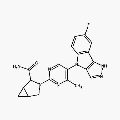 Cc1nc(N2CC3CC3C2C(N)=O)ncc1-n1c2ccc(F)cc2c2[nH]ncc21